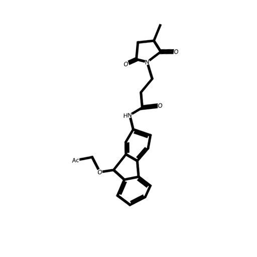 CC(=O)COC1c2ccccc2-c2ccc(NC(=O)CCN3C(=O)CC(C)C3=O)cc21